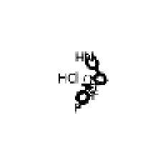 CC1(c2ccc(F)cc2F)Oc2cccc(C3CCNCC3)c2O1.Cl